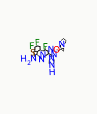 N#Cc1c(N)sc2c(F)c(F)cc(-c3ncc4c(N5CCNCC5)nc(OCC5(CN6CCCC6)CC5)nc4c3F)c12